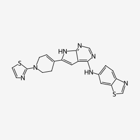 C1=C(c2cc3c(Nc4ccc5ncsc5c4)ncnc3[nH]2)CCN(c2nccs2)C1